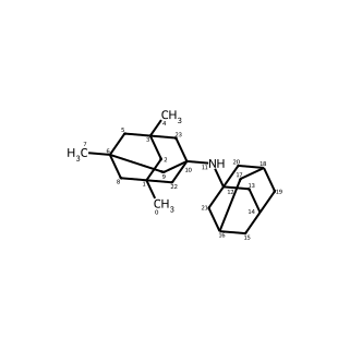 CC12CC3(C)CC(C)(C1)CC(NC14CC5CC(CC(C5)C1)C4)(C2)C3